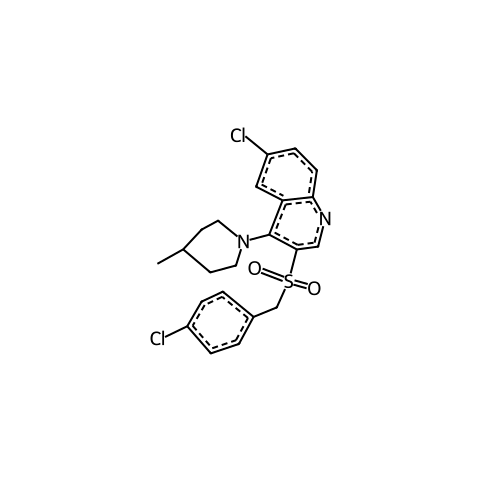 CC1CCN(c2c(S(=O)(=O)Cc3ccc(Cl)cc3)cnc3ccc(Cl)cc23)CC1